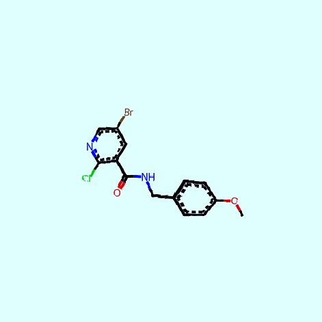 COc1ccc(CNC(=O)c2cc(Br)cnc2Cl)cc1